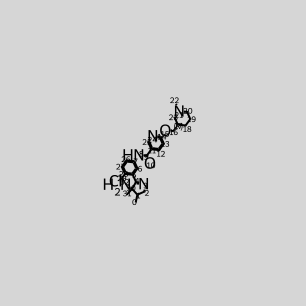 CC1CN=C(c2cc(NC(=O)c3ccc(OC[C@@H]4CCCN(C)C4)nc3)ccc2Cl)C1(C)N